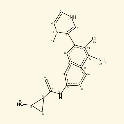 CN1C=CNC=C1c1cc2cc(NC(=O)C3CC3C#N)ncc2c(N)c1Cl